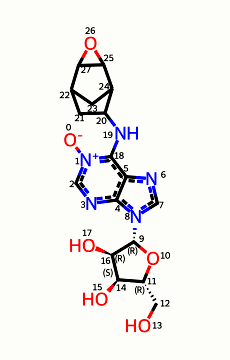 [O-][n+]1cnc2c(ncn2[C@@H]2O[C@H](CO)[C@@H](O)[C@H]2O)c1NC1CC2CC1C1OC21